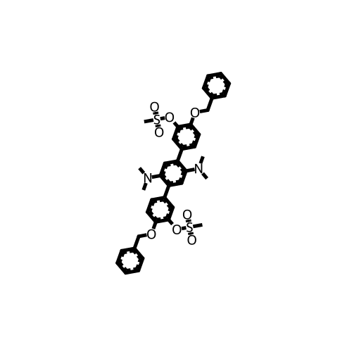 CN(C)c1cc(-c2ccc(OCc3ccccc3)c(OS(C)(=O)=O)c2)c(N(C)C)cc1-c1ccc(OCc2ccccc2)c(OS(C)(=O)=O)c1